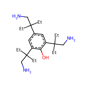 CCC(CC)(CN)c1cc(C(CC)(CC)CN)c(O)c(C(CC)(CC)CN)c1